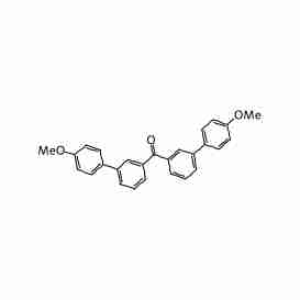 COc1ccc(-c2cccc(C(=O)c3cccc(-c4ccc(OC)cc4)c3)c2)cc1